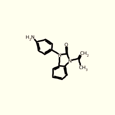 C=C(C)n1c(=O)n(-c2ccc(N)cc2)c2ccccc21